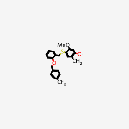 COc1cc([O])c(C)cc1SCc1ccccc1OCc1ccc(C(F)(F)F)cc1